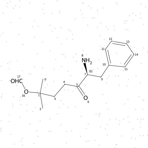 CC(C)(CCC(=O)[C@@H](N)Cc1ccccc1)O[C]=O